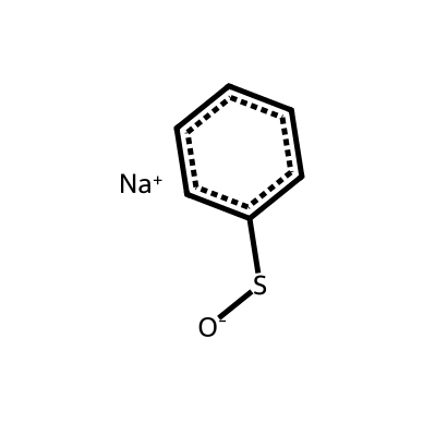 [Na+].[O-]Sc1ccccc1